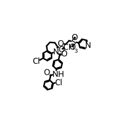 COC1(OCCS(=O)(=O)c2ccncc2)CCCc2cc(Cl)ccc2N1C(=O)c1ccc(NC(=O)c2ccccc2Cl)cc1